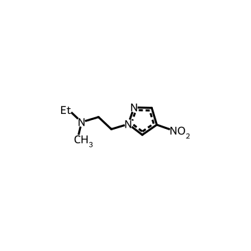 CCN(C)CCn1cc([N+](=O)[O-])cn1